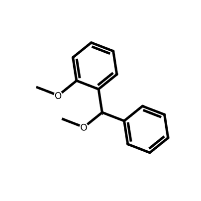 CO[C](c1ccccc1)c1ccccc1OC